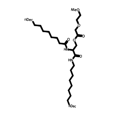 CCCCCCCCCCCCCCCCCCNC(=O)C(COC(=O)COCCOC)NC(=O)CCCCCCCCCCCCCCCCC